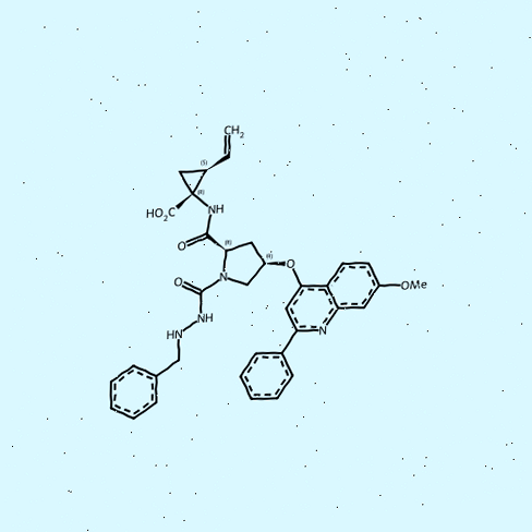 C=C[C@@H]1C[C@]1(NC(=O)[C@H]1C[C@@H](Oc2cc(-c3ccccc3)nc3cc(OC)ccc23)CN1C(=O)NNCc1ccccc1)C(=O)O